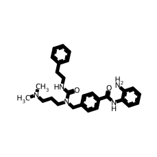 CN(C)CCCN(Cc1ccc(C(=O)Nc2ccccc2N)cc1)C(=O)NCCc1ccccc1